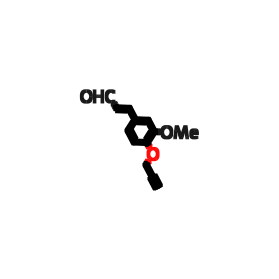 C#CCOc1ccc(/C=C/C=O)cc1OC